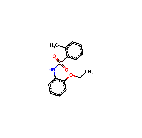 CCOc1ccccc1NS(=O)(=O)c1ccccc1C